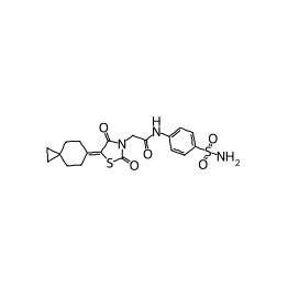 NS(=O)(=O)c1ccc(NC(=O)CN2C(=O)SC(=C3CCC4(CC3)CC4)C2=O)cc1